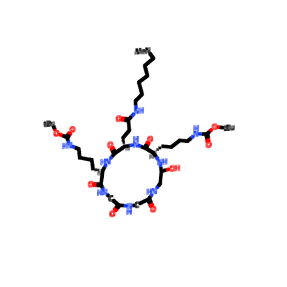 CNCCCCCCNC(=O)CC[C@@H]1NC(=O)[C@H](CCCCNC(=O)OC(C)(C)C)NC(O)CNC(=O)CNC(=O)CNC(=O)[C@H](CCCCNC(=O)OC(C)(C)C)NC1=O